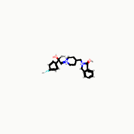 BC(O)(CN1CCC(CN2Cc3ccccc3C2=O)CC1)c1ccc(F)cc1